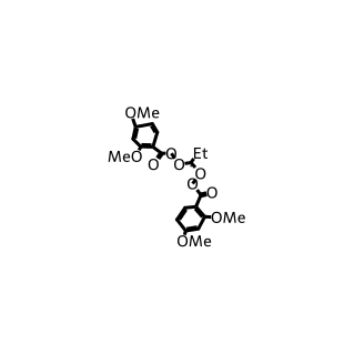 [CH2]C[C](OOC(=O)c1ccc(OC)cc1OC)OOC(=O)c1ccc(OC)cc1OC